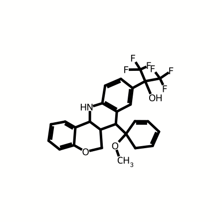 COC1(C2c3cc(C(O)(C(F)(F)F)C(F)(F)F)ccc3NC3c4ccccc4OCC32)C=CC=CC1